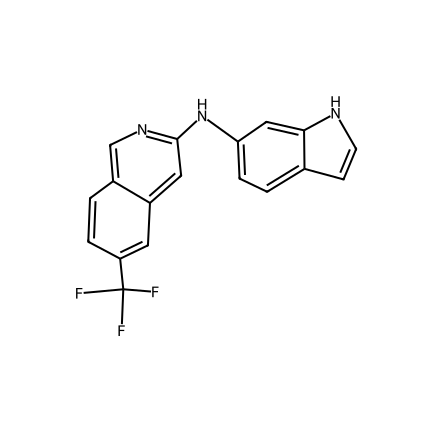 FC(F)(F)c1ccc2cnc(Nc3ccc4cc[nH]c4c3)cc2c1